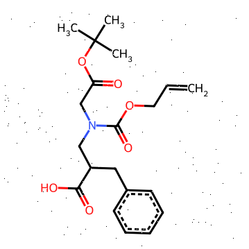 C=CCOC(=O)N(CC(=O)OC(C)(C)C)CC(Cc1ccccc1)C(=O)O